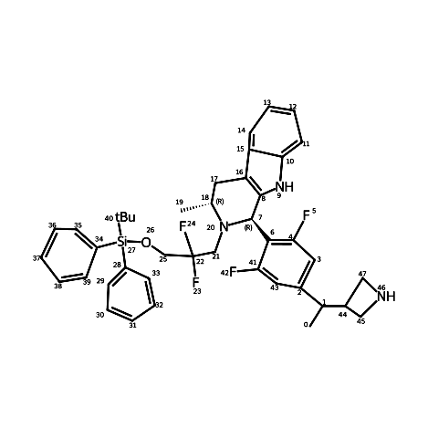 CC(c1cc(F)c([C@@H]2c3[nH]c4ccccc4c3C[C@@H](C)N2CC(F)(F)CO[Si](c2ccccc2)(c2ccccc2)C(C)(C)C)c(F)c1)C1CNC1